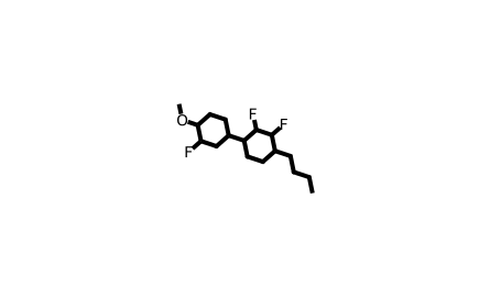 CCCCC1CCC(C2CCC(OC)C(F)C2)C(F)C1F